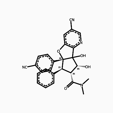 CN(C)C(=O)[C@H]1[C@@H](O)C2(O)c3ncc(C#N)cc3O[C@@]2(c2ccc(C#N)cc2)[C@@H]1c1ccccc1